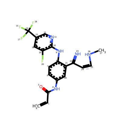 C=CC(=O)Nc1ccc(Nc2ncc(C(F)(F)F)cc2F)c(C(=N)/C=C\NC)c1